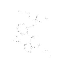 CCOC(=O)c1noc(C2CC2)c1C(=O)c1ccccc1CP(=O)(OCC)OCC